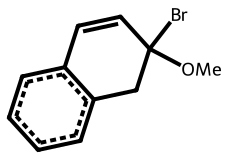 COC1(Br)C=Cc2ccccc2C1